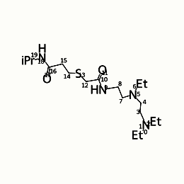 CCN(CC)CCN(CC)CCNC(=O)CSCCC(=O)NC(C)C